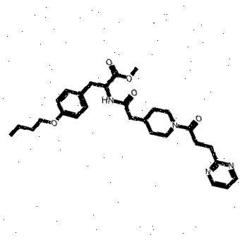 CCCCOc1ccc(CC(NC(=O)CC2CCN(C(=O)CCc3ncccn3)CC2)C(=O)OC)cc1